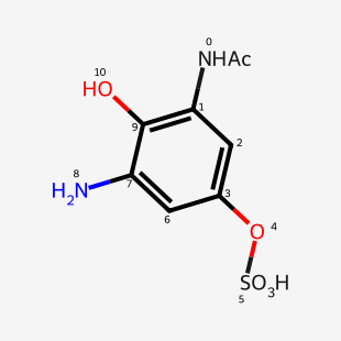 CC(=O)Nc1cc(OS(=O)(=O)O)cc(N)c1O